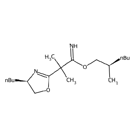 CCCC[C@@H](C)COC(=N)C(C)(C)C1=N[C@H](CCCC)CO1